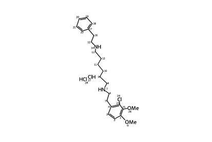 COc1ccc(CCNCCCCCCNCCc2ccccc2)c(Cl)c1OC.Cl.Cl